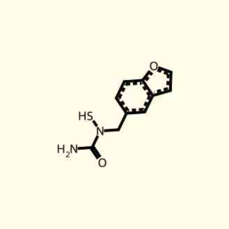 NC(=O)N(S)Cc1ccc2occc2c1